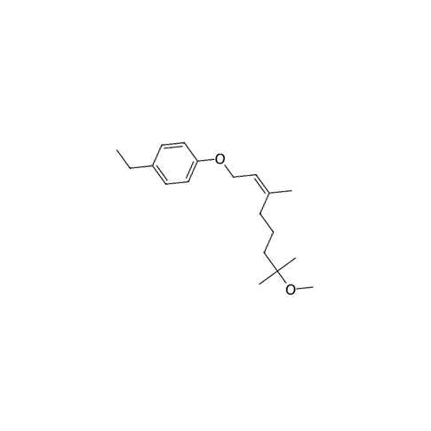 CCc1ccc(OCC=C(C)CCCC(C)(C)OC)cc1